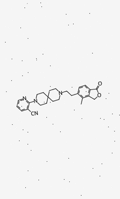 Cc1c(CCN2CCC3(CC2)CCN(c2ncccc2C#N)CC3)ccc2c1COC2=O